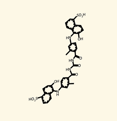 Cc1cc(Nc2c(O)ccc3c(S(=O)(=O)O)cccc23)ccc1C(=O)NC(=O)NC(=O)c1ccc(Nc2c(O)ccc3c(S(=O)(=O)O)cccc23)cc1C